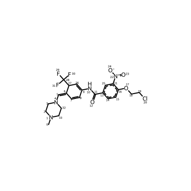 CN1CCN(C=C2C=CC(NC(=O)c3ccc(OCCCl)c([N+](=O)[O-])c3)=CC2C(F)(F)F)CC1